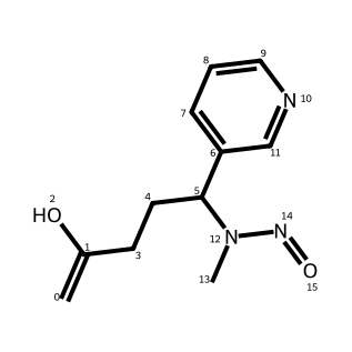 C=C(O)CCC(c1cccnc1)N(C)N=O